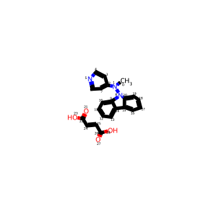 CN(c1ccncc1)n1c2ccccc2c2ccccc21.O=C(O)C=CC(=O)O